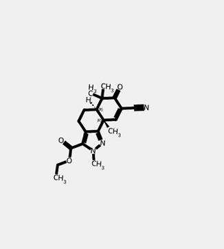 CCOC(=O)c1c2c(nn1C)[C@@]1(C)C=C(C#N)C(=O)C(C)(C)[C@@H]1CC2